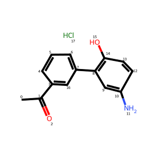 CC(=O)c1cccc(-c2cc(N)ccc2O)c1.Cl